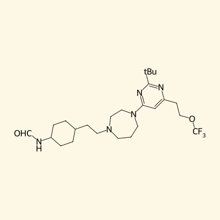 CC(C)(C)c1nc(CCOC(F)(F)F)cc(N2CCCN(CCC3CCC(NC=O)CC3)CC2)n1